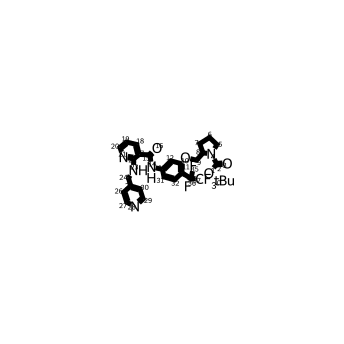 CC(C)(C)OC(=O)N1CCCC1COc1cc(NC(=O)c2cccnc2NCc2ccncc2)ccc1C(F)(F)C(F)(F)F